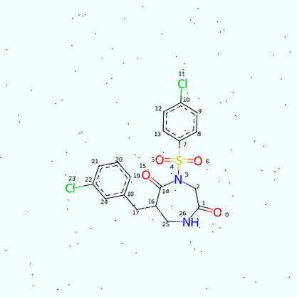 O=C1CN(S(=O)(=O)c2ccc(Cl)cc2)C(=O)C(Cc2cccc(Cl)c2)CN1